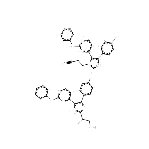 CC(CO)c1nc(-c2ccc(F)cc2)c(-c2ccnc(Oc3ccccc3)n2)[nH]1.N#CCCn1cnc(-c2ccc(F)cc2)c1-c1ccnc(Oc2ccccc2)n1